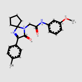 N#Cc1ccc(C2=NC3(CCCC3)N(CC(=O)Nc3cccc(OC(F)(F)F)c3)C2=O)cc1